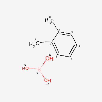 Cc1ccccc1C.OB(O)O